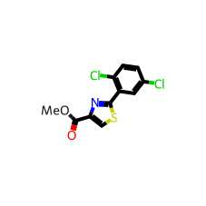 COC(=O)c1csc(-c2cc(Cl)ccc2Cl)n1